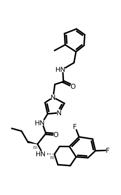 CCC[C@H](N[C@H]1CCc2cc(F)cc(F)c2C1)C(=O)Nc1cn(CC(=O)NCc2ccccc2C)cn1